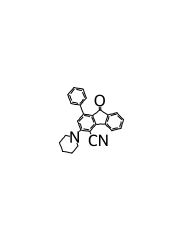 N#Cc1c(N2CCCCC2)cc(-c2ccccc2)c2c1-c1ccccc1C2=O